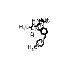 CC(C)Nc1nc2cc(CN3CCN(C)CC3)ccc2n2c(=O)[nH]nc12